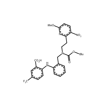 COc1ccc([N+](=O)[O-])c(CCN(Cc2ccccc2Nc2ccc(C(F)(F)F)cc2C(=O)O)C(=O)OC(C)(C)C)n1